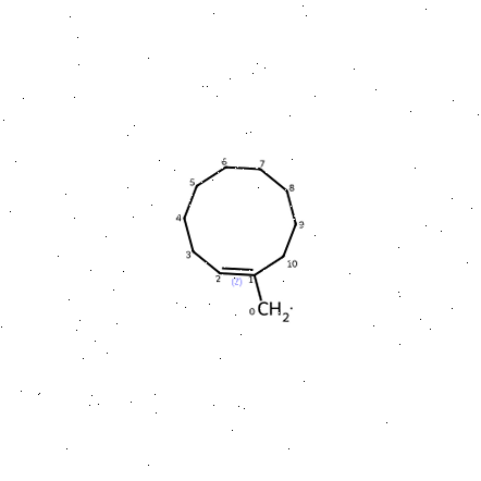 [CH2]/C1=C/CCCCCCCC1